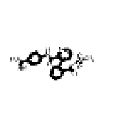 CS(=O)(=O)OC(=O)c1ccccc1-c1cccnc1C(=O)Nc1ccc(C(=N)N)cc1